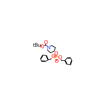 CC(C)(C)OC(=O)N1CCC(OP(=O)(OCc2ccccc2)OCc2ccccc2)CC1